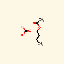 CCCCOC(C)=O.O=C(O)O